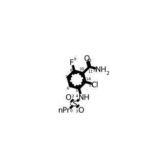 CCCS(=O)(=O)Nc1ccc(F)c(C(N)=O)c1Cl